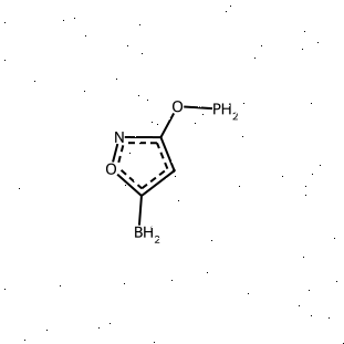 Bc1cc(OP)no1